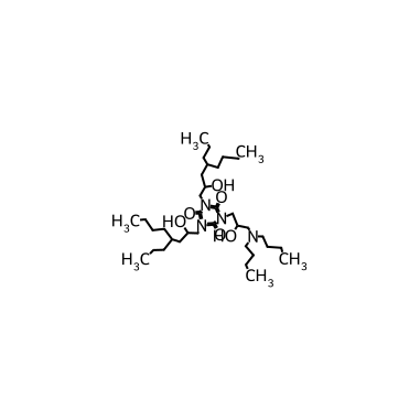 CCCCC(CCC)CC(O)Cn1c(=O)n(CC(O)CC(CCC)CCCC)c(=O)n(CC(O)CN(CCCC)CCCC)c1=O